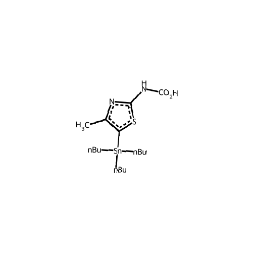 CCC[CH2][Sn]([CH2]CCC)([CH2]CCC)[c]1sc(NC(=O)O)nc1C